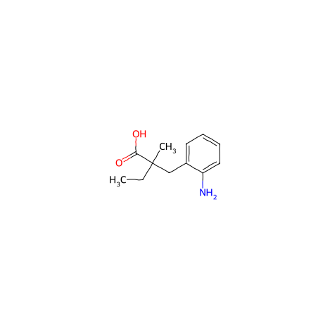 CCC(C)(Cc1ccccc1N)C(=O)O